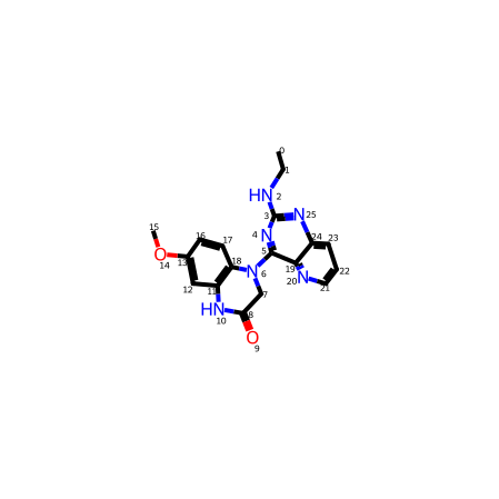 CCNc1nc(N2CC(=O)Nc3cc(OC)ccc32)c2ncccc2n1